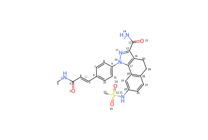 CNC(=O)/C=C/c1ccc(-n2nc(C(N)=O)c3c2-c2cc(NS(C)(=O)=O)ccc2CC3)cc1